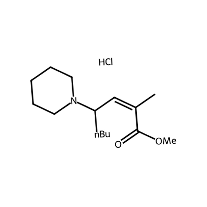 CCCCC(C=C(C)C(=O)OC)N1CCCCC1.Cl